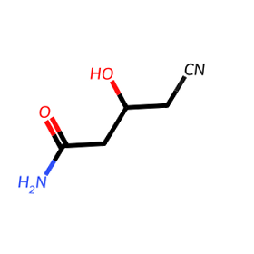 N#CCC(O)CC(N)=O